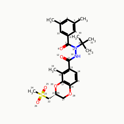 Cc1cc(C)cc(C(=O)N(NC(=O)c2ccc3c(c2C)O[C@@H](CS(C)(=O)=O)CO3)C(C)(C)C)c1